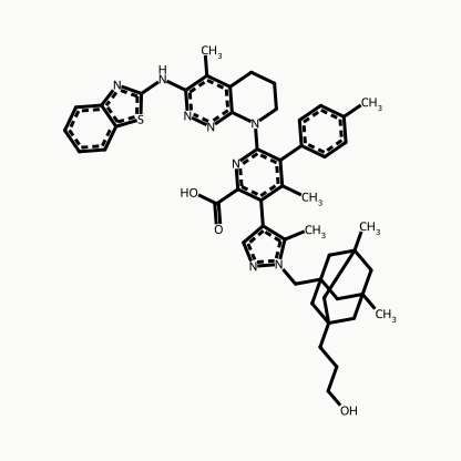 Cc1ccc(-c2c(N3CCCc4c3nnc(Nc3nc5ccccc5s3)c4C)nc(C(=O)O)c(-c3cnn(CC45CC6(C)CC(C)(CC(CCCO)(C6)C4)C5)c3C)c2C)cc1